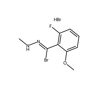 Br.CNN=C(Br)c1c(F)cccc1OC